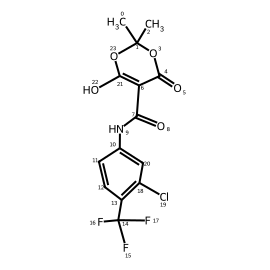 CC1(C)OC(=O)C(C(=O)Nc2ccc(C(F)(F)F)c(Cl)c2)=C(O)O1